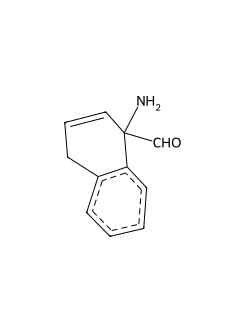 NC1(C=O)C=CCc2ccccc21